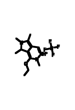 CCOC1=C2C(=C(C)N(C)C2C)C=[NH+]N1C.F[B-](F)(F)F